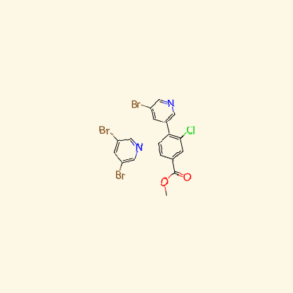 Brc1cncc(Br)c1.COC(=O)c1ccc(-c2cncc(Br)c2)c(Cl)c1